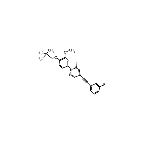 COc1cc(-n2ncc(C#Cc3cccc(F)c3)cc2=O)ccc1OCC(C)(C)C